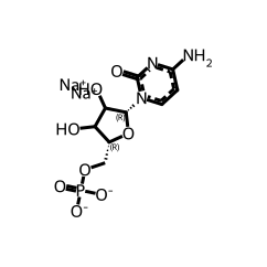 Nc1ccn([C@@H]2O[C@H](COP(=O)([O-])[O-])C(O)C2O)c(=O)n1.[Na+].[Na+]